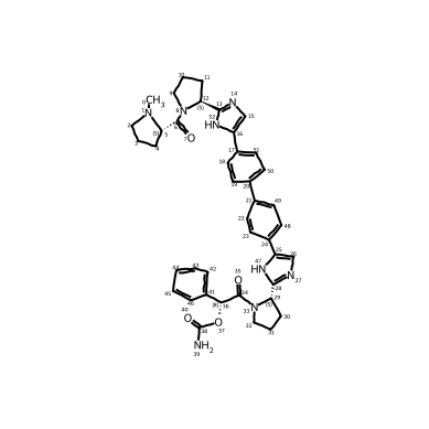 CN1CCC[C@H]1C(=O)N1CCC[C@H]1c1ncc(-c2ccc(-c3ccc(-c4cnc([C@@H]5CCCN5C(=O)[C@H](OC(N)=O)c5ccccc5)[nH]4)cc3)cc2)[nH]1